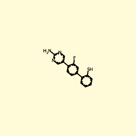 Nc1ncc(-c2ccc(-c3ccccc3S)cc2F)cn1